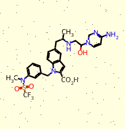 CC(Cc1ccc2c(c1)cc(C(=O)O)n2Cc1cccc(N(C)S(=O)(=O)C(F)(F)F)c1)NCC(O)N1C=CC(N)=NC1